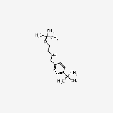 CC(C)(C)OCCNCc1ccc(C(C)(C)C)cc1